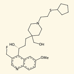 COc1ccc2ncc(CF)c([C@H](O)CCC3(CO)CCN(CCSC4CCCC4)CC3)c2c1